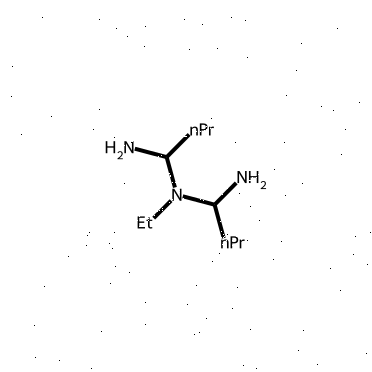 CCCC(N)N(CC)C(N)CCC